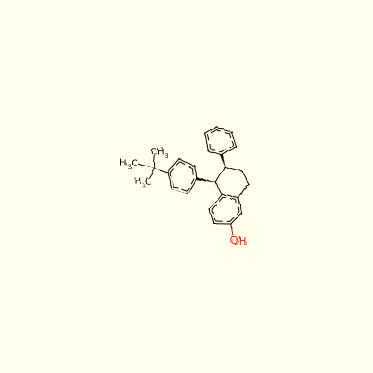 CC(C)(C)c1ccc([C@@H]2c3ccc(O)cc3CC[C@@H]2c2ccccc2)cc1